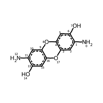 Nc1cc2c(cc1O)Oc1cc(N)c(O)cc1O2